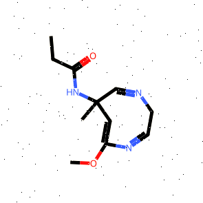 CCC(=O)NC1(C)/C=N\C/C=N\C(OC)=C\1